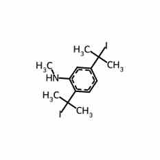 CNc1cc(C(C)(C)I)ccc1C(C)(C)I